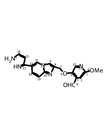 COc1cc(C=O)c(OCc2cn3cc(C(=N)/C=C\N)ccc3n2)cn1